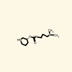 CN(C)CCCNC(=O)O[C@@H]1CCCNC1